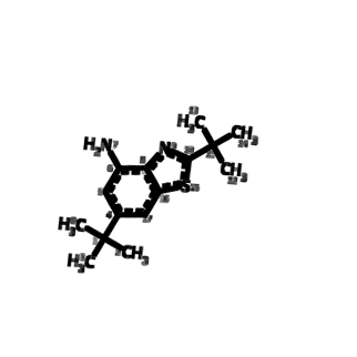 CC(C)(C)c1cc(N)c2nc(C(C)(C)C)sc2c1